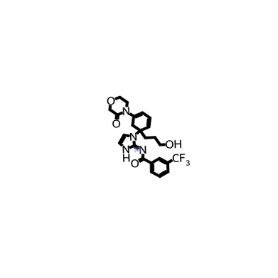 O=C(/N=c1\[nH]ccn1C1(CCCO)C=CC=C(N2CCOCC2=O)C1)c1cccc(C(F)(F)F)c1